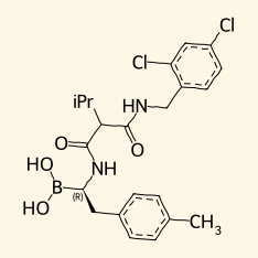 Cc1ccc(C[C@H](NC(=O)C(C(=O)NCc2ccc(Cl)cc2Cl)C(C)C)B(O)O)cc1